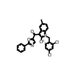 Cc1ccc2c(c1)c(C(=O)c1cnc(-c3ccccc3)o1)c(C(F)(F)F)n2Cc1ccc(Cl)cc1Cl